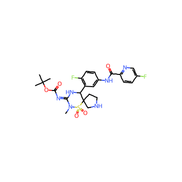 CN1C(=NC(=O)OC(C)(C)C)NC(c2cc(NC(=O)c3ccc(F)cn3)ccc2F)C2(CCNC2)S1(=O)=O